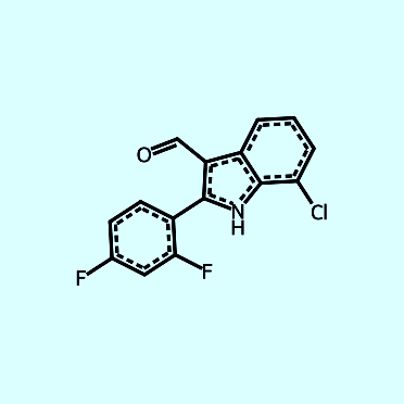 O=Cc1c(-c2ccc(F)cc2F)[nH]c2c(Cl)cccc12